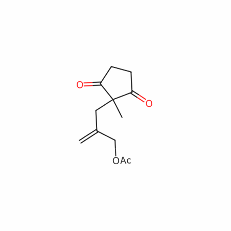 C=C(COC(C)=O)CC1(C)C(=O)CCC1=O